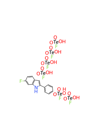 Fc1ccc2cc(-c3ccccc3)[nH]c2c1.O=[Te](=O)(O)F.O=[Te](=O)(O)F.O=[Te](=O)(O)F.O=[Te](=O)(O)F.O=[Te](=O)(O)F.O=[Te](=O)(O)F